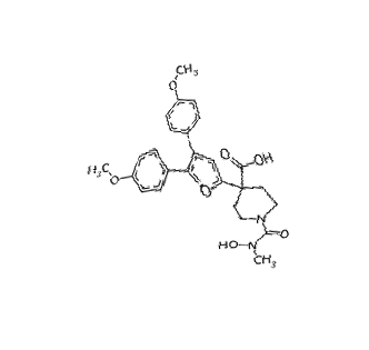 COc1ccc(-c2cc(C3(C(=O)O)CCN(C(=O)N(C)O)CC3)oc2-c2ccc(OC)cc2)cc1